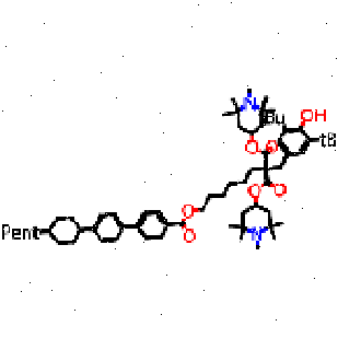 CCCCCC1CCC(c2ccc(-c3ccc(C(=O)OCCCCCCC(Cc4cc(C(C)(C)C)c(O)c(C(C)(C)C)c4)(C(=O)OC4CC(C)(C)N(C)C(C)(C)C4)C(=O)OC4CC(C)(C)N(C)C(C)(C)C4)cc3)cc2)CC1